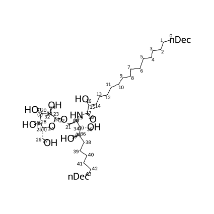 CCCCCCCCCCCCCCCCCCCCCCCCC(O)C(=O)N[C@H](CO[C@H]1O[C@H](CO)[C@H](O)[C@H](O)[C@H]1O)[C@H](O)[C@H](O)CCCCCCCCCCCCCCC